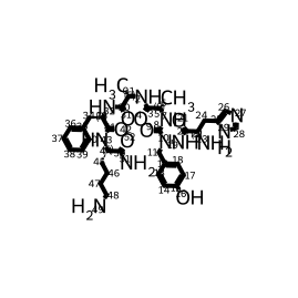 C[C@H](NC(=O)[C@H](C)NC(=O)N(Cc1ccc(O)cc1)NC(=O)[C@@H](N)Cc1cnc[nH]1)C(=O)N[C@H](Cc1ccccc1)C(=O)N[C@@H](CCCCN)C(N)=O